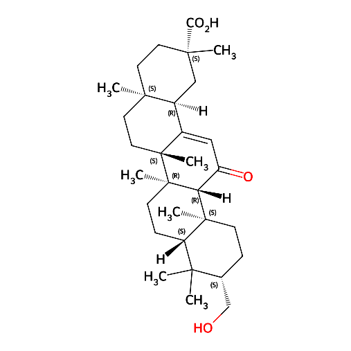 CC1(C)[C@@H](CO)CC[C@]2(C)[C@H]3C(=O)C=C4[C@@H]5C[C@@](C)(C(=O)O)CC[C@]5(C)CC[C@@]4(C)[C@]3(C)CC[C@@H]12